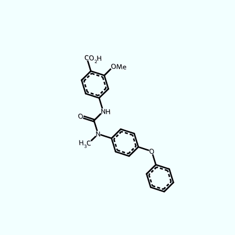 COc1cc(NC(=O)N(C)c2ccc(Oc3ccccc3)cc2)ccc1C(=O)O